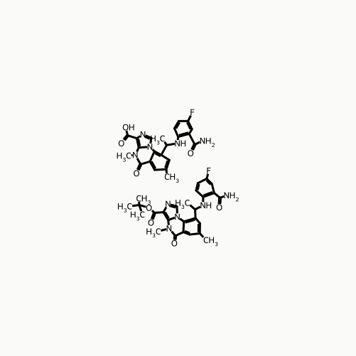 Cc1cc(C(C)Nc2ccc(F)cc2C(N)=O)c2c(c1)c(=O)n(C)c1c(C(=O)O)ncn21.Cc1cc(C(C)Nc2ccc(F)cc2C(N)=O)c2c(c1)c(=O)n(C)c1c(C(=O)OC(C)(C)C)ncn21